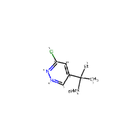 CCCCCCC(C)(CC)c1cnnc(Cl)c1